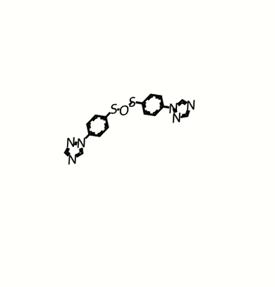 c1ncn(-c2ccc(SOSc3ccc(-n4cncn4)cc3)cc2)n1